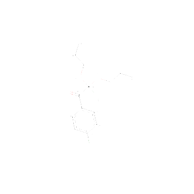 CCCOC(Cl)(OCCC)C(=O)c1ccc(Cl)cc1